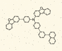 c1cc(-c2ccc(N(c3ccc(-c4ccc5oc6ccccc6c5c4)cc3)c3ccc4oc5ccccc5c4c3)cc2)cc(-c2cccc3ccccc23)c1